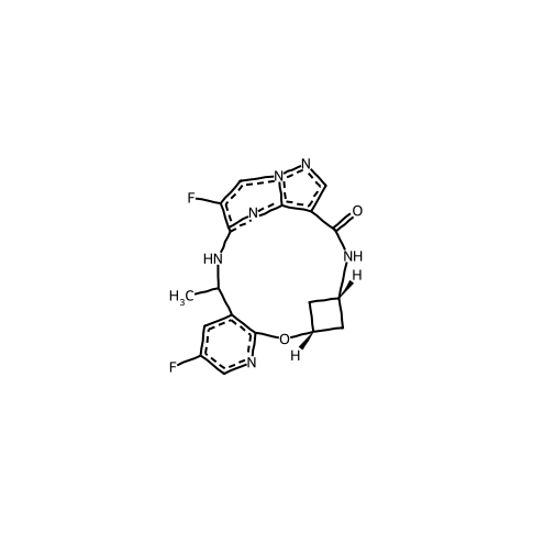 CC1Nc2nc3c(cnn3cc2F)C(=O)N[C@H]2C[C@H](C2)Oc2ncc(F)cc21